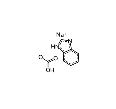 O=C([O-])O.[Na+].c1ccc2[nH]cnc2c1